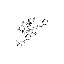 C[C@@H](N(CCOCc1ccccc1)C(=O)c1ccc(OCC(F)(F)F)cc1)[C@](O)(Cn1cncn1)c1ccc(F)cc1F